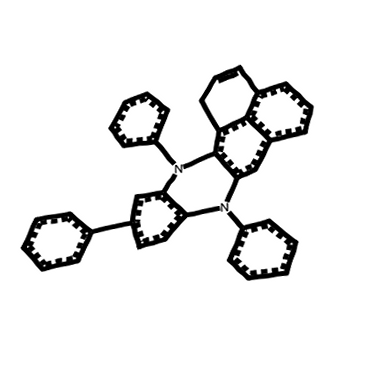 C1=Cc2cccc3cc4c(c(c23)C1)N(c1ccccc1)c1cc(-c2ccccc2)ccc1N4c1ccccc1